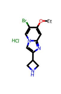 CCOc1cc2nc(C3CNC3)cn2cc1Br.Cl